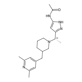 CC(=O)Nc1cc([C@H](C)N2CCCC(Cc3cc(C)nc(C)c3)C2)n[nH]1